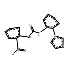 O=C(Nc1ccccc1-n1ccnc1)Nc1ccccc1[N+](=O)[O-]